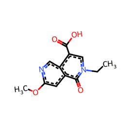 CCn1cc(C(=O)O)c2cnc(OC)cc2c1=O